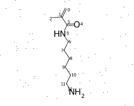 C=C(C)C(=O)NCCCCCCN